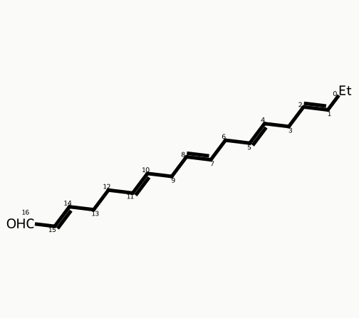 CCC=CCC=CCC=CCC=CCCC=CC=O